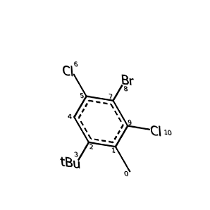 Cc1c(C(C)(C)C)cc(Cl)c(Br)c1Cl